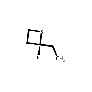 CC[C@]1(F)CCS1